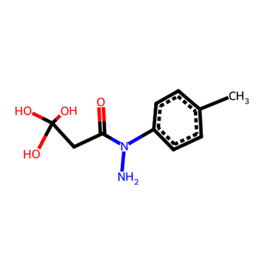 Cc1ccc(N(N)C(=O)CC(O)(O)O)cc1